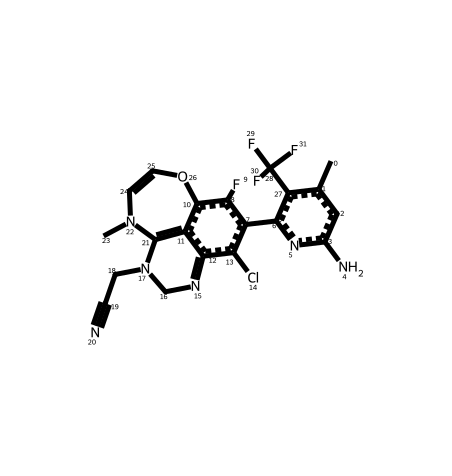 Cc1cc(N)nc(-c2c(F)c3c4c(c2Cl)=NCN(CC#N)C=4N(C)C=CO3)c1C(F)(F)F